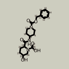 O=C(NC1CCN(C(=O)OCc2ccccc2)CC1)C1CCC(O)CN1C(=O)O